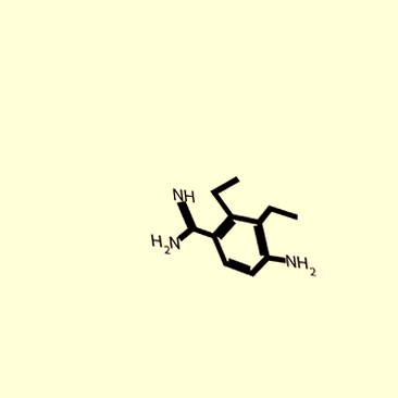 CCc1c(N)ccc(C(=N)N)c1CC